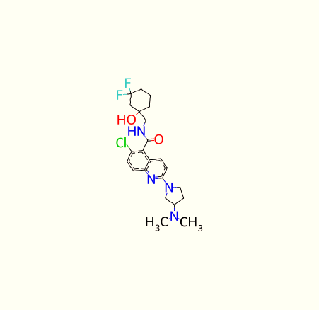 CN(C)C1CCN(c2ccc3c(C(=O)NCC4(O)CCCC(F)(F)C4)c(Cl)ccc3n2)C1